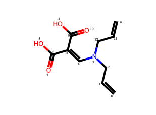 C=CCN(C=C(C(=O)O)C(=O)O)CC=C